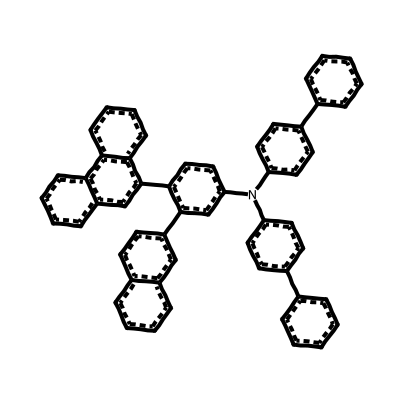 c1ccc(-c2ccc(N(c3ccc(-c4ccccc4)cc3)c3ccc(-c4cc5ccccc5c5ccccc45)c(-c4ccc5ccccc5c4)c3)cc2)cc1